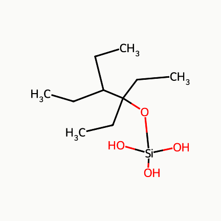 CCC(CC)C(CC)(CC)O[Si](O)(O)O